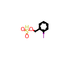 O=[SH](=O)O[CH]c1ccccc1I